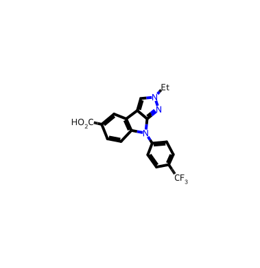 CCn1cc2c3cc(C(=O)O)ccc3n(-c3ccc(C(F)(F)F)cc3)c2n1